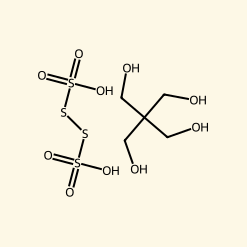 O=S(=O)(O)SSS(=O)(=O)O.OCC(CO)(CO)CO